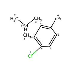 [CH2]CCc1ccc(Cl)cc1.[CH3][SnH]([CH3])[CH3]